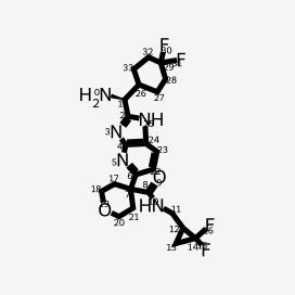 N[C@H](c1nc2nc(C3(C(=O)NCC4CC4(F)F)CCOCC3)ccc2[nH]1)C1CCC(F)(F)CC1